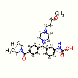 CCN(CC)C(=O)c1ccc(C(c2cccc(NC(=O)O)c2)N2CCN(CCCOC)CC2)cc1